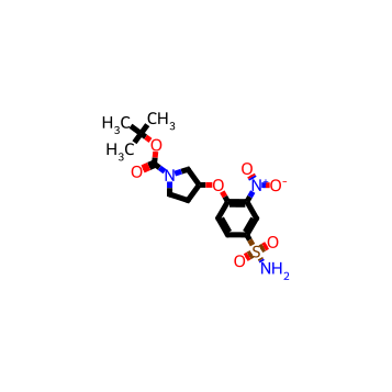 CC(C)(C)OC(=O)N1CCC(Oc2ccc(S(N)(=O)=O)cc2[N+](=O)[O-])C1